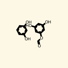 O=COc1cc(O)cc(O)c1.Oc1cccc(O)c1